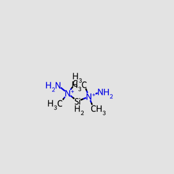 C[N+](C)(N)[SiH2][N+](C)(C)N